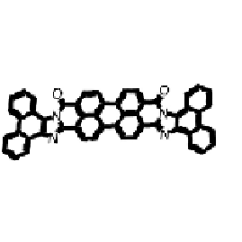 O=c1c2ccc3c4ccc5c(=O)n6c(nc7c8ccccc8c8ccccc8c76)c6ccc(c7ccc(c2c37)c2nc3c7ccccc7c7ccccc7c3n12)c4c56